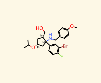 COc1ccc(CN[C@@]2(c3ccc(F)c(Br)c3)C[C@H](OC(C)C)C[C@H]2CO)cc1